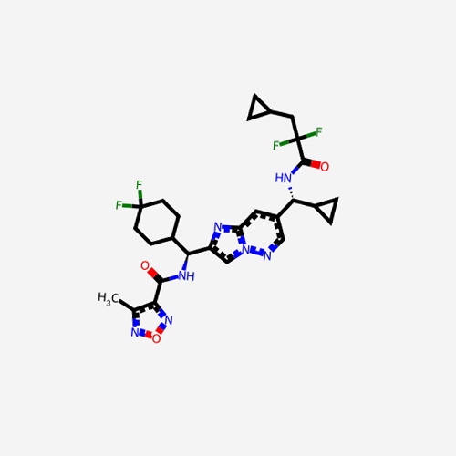 Cc1nonc1C(=O)N[C@H](c1cn2ncc([C@H](NC(=O)C(F)(F)CC3CC3)C3CC3)cc2n1)C1CCC(F)(F)CC1